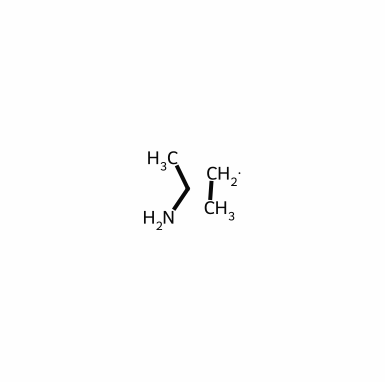 CCN.[CH2]C